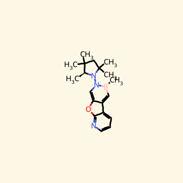 CB1C=c2c(oc3ncccc23)=CN1N1[C@@H](C)C(C)(C)CC1(C)C